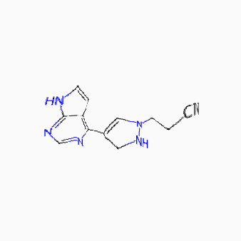 N#CCCN1C=C(c2ncnc3[nH]ccc23)CN1